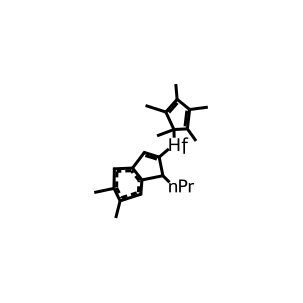 CCCC1[C]([Hf][C]2(C)C(C)=C(C)C(C)=C2C)=Cc2cc(C)c(C)cc21